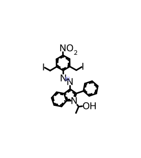 CC(O)n1c(-c2ccccc2)c(/N=N/c2c(CI)cc([N+](=O)[O-])cc2CI)c2ccccc21